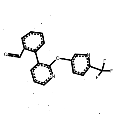 O=Cc1ccccc1-c1cccnc1Oc1ccc(C(F)(F)F)nc1